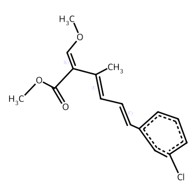 CO\C=C(C(=O)OC)/C(C)=C/C=C/c1cccc(Cl)c1